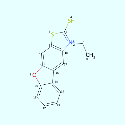 CC[n+]1c(S)sc2cc3oc4ccccc4c3cc21